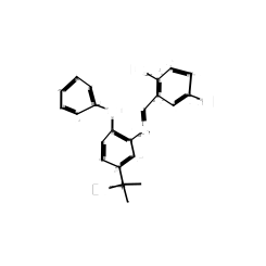 CCC(C)(C)c1ccc(Oc2ccccc2)c(/N=C/c2cc(Cl)ccc2O)c1